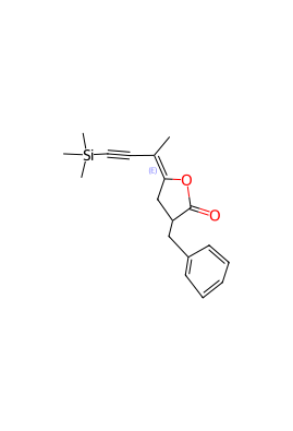 C/C(C#C[Si](C)(C)C)=C1/CC(Cc2ccccc2)C(=O)O1